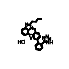 CCCCc1nc2cccc(OC)c2n1Cc1ccc(-c2ccccc2-c2nnn[nH]2)cc1.Cl